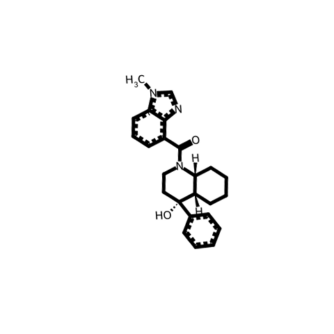 Cn1cnc2c(C(=O)N3CC[C@](O)(c4ccccc4)[C@H]4CCCC[C@H]43)cccc21